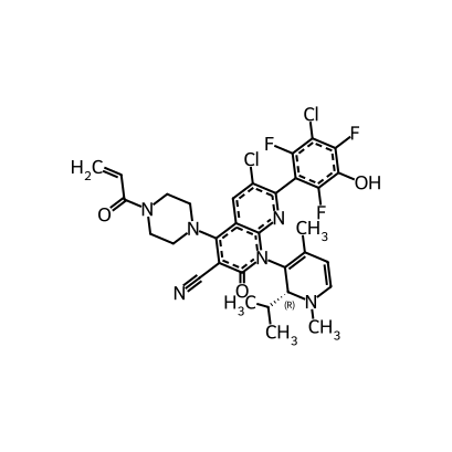 C=CC(=O)N1CCN(c2c(C#N)c(=O)n(C3=C(C)C=CN(C)[C@@H]3C(C)C)c3nc(-c4c(F)c(O)c(F)c(Cl)c4F)c(Cl)cc23)CC1